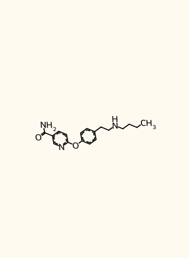 CCCCNCCc1ccc(Oc2ccc(C(N)=O)cn2)cc1